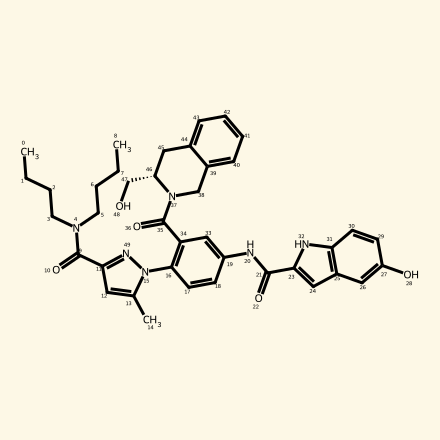 CCCCN(CCCC)C(=O)c1cc(C)n(-c2ccc(NC(=O)c3cc4cc(O)ccc4[nH]3)cc2C(=O)N2Cc3ccccc3C[C@H]2CO)n1